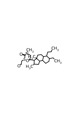 CCCC1C(CC)CCC2C1CCC1(C)C2CC(C)C1C(=O)CN(C)C(=O)SCC=O